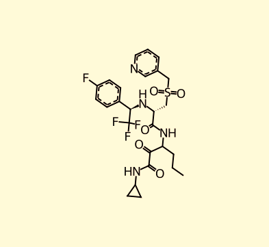 CCCC(NC(=O)[C@@H](CS(=O)(=O)Cc1cccnc1)N[C@H](c1ccc(F)cc1)C(F)(F)F)C(=O)C(=O)NC1CC1